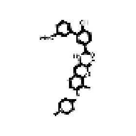 COc1cccc(-c2cc(C(=O)Nc3cc4ccc(OC5CCN(C)CC5)c(C)c4oc3=O)ccc2O)c1